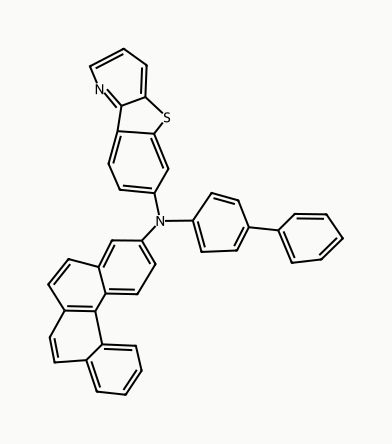 c1ccc(-c2ccc(N(c3ccc4c(ccc5ccc6ccccc6c54)c3)c3ccc4c(c3)sc3cccnc34)cc2)cc1